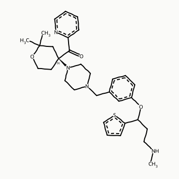 CNCCC(Oc1cccc(CN2CCN([C@@]3(C(=O)c4ccccn4)CCOC(C)(C)C3)CC2)c1)c1cccs1